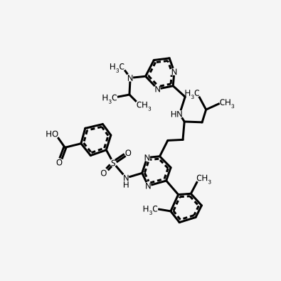 Cc1cccc(C)c1-c1cc(CCC(CC(C)C)NCc2nccc(N(C)C(C)C)n2)nc(NS(=O)(=O)c2cccc(C(=O)O)c2)n1